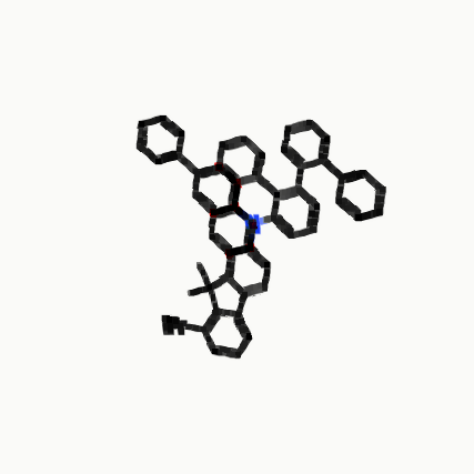 CC(C)c1cccc2c1C(C)(C)c1cc(N(c3ccc(-c4ccccc4)cc3)c3cccc(-c4ccccc4-c4ccccc4)c3-c3ccccc3-c3ccccc3)ccc1-2